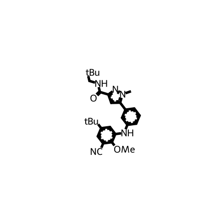 COc1c(C#N)cc(C(C)(C)C)cc1Nc1cccc(-c2cc(C(=O)NCC(C)(C)C)nn2C)c1